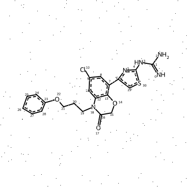 N=C(N)Nc1nc(-c2cc(Cl)cc3c2OCC(=O)N3CCCOc2ccccc2)cs1